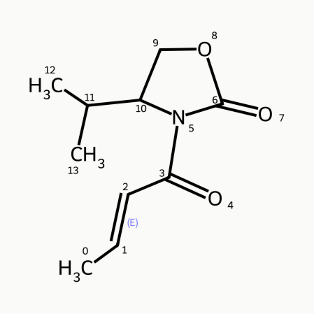 C/C=C/C(=O)N1C(=O)OCC1C(C)C